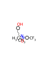 CC1(C)C(=O)N(c2ccc(C(F)(F)F)cc2)N=C1CCCc1ccc(O)cc1